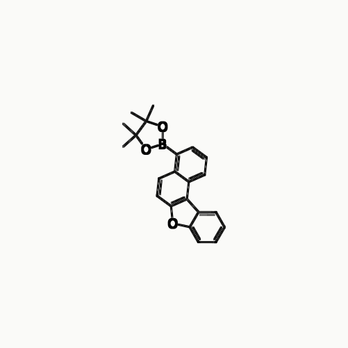 CC1(C)OB(c2cccc3c2ccc2oc4ccccc4c23)OC1(C)C